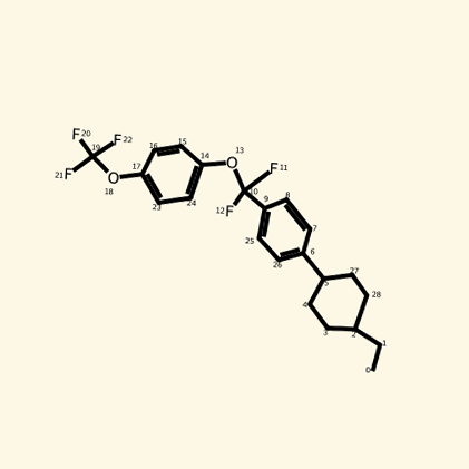 CCC1CCC(c2ccc(C(F)(F)Oc3ccc(OC(F)(F)F)cc3)cc2)CC1